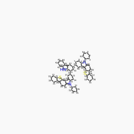 c1ccc(-n2c3ccc(-c4cc(-c5ccc6c(c5)c5c7sc8ccccc8c7ccc5n6-c5ccccc5)c5[nH]c6ccccc6c5c4)cc3c3c4sc5ccccc5c4ccc32)cc1